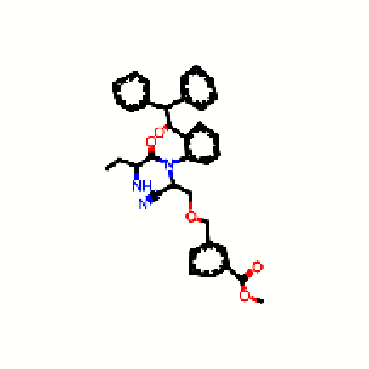 CCC(N)C(=O)N(c1ccccc1C(=O)C(c1ccccc1)c1ccccc1)C(C#N)COCc1cccc(C(=O)OC)c1